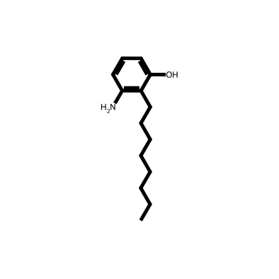 CCCCCCCCc1c(N)cccc1O